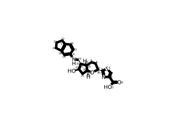 O=C(O)c1csc([C@H]2CC[C@@H]3[C@@H](CNc4ccc5c(c4)CCC5)[C@H](O)C[C@@H]3O2)n1